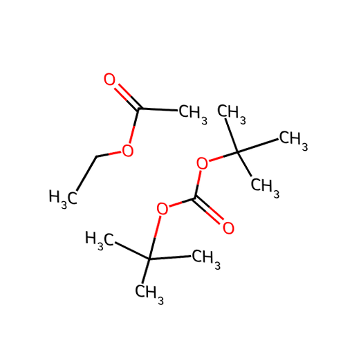 CC(C)(C)OC(=O)OC(C)(C)C.CCOC(C)=O